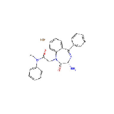 Br.CC(C)N(C(=O)CN1C(=O)[C@@H](N)N=C(c2ccccc2)c2ccccc21)c1ccccc1